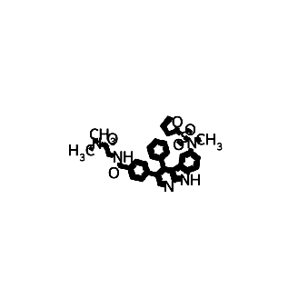 CN(C)C(=O)CNC(=O)c1ccc(-c2cnc3[nH]c4ccc(N(C)S(=O)(=O)C5CC=CO5)cc4c3c2-c2ccccc2)cc1